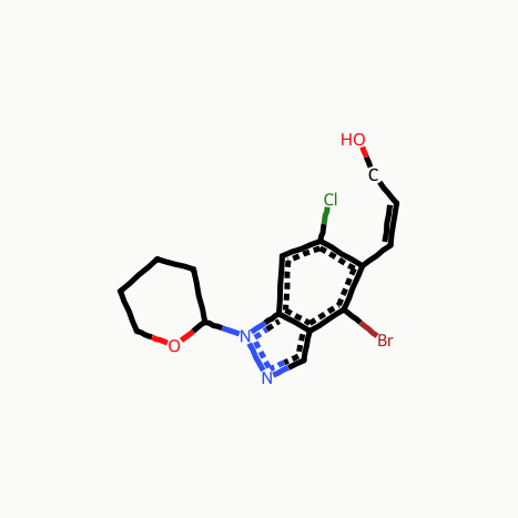 OC/C=C\c1c(Cl)cc2c(cnn2C2CCCCO2)c1Br